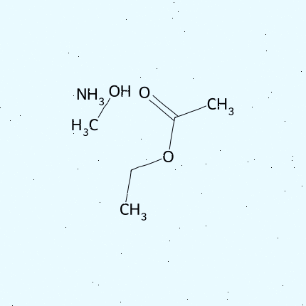 CCOC(C)=O.CO.N